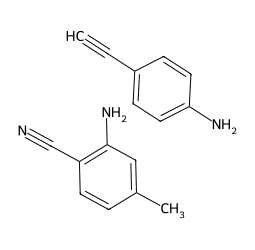 C#Cc1ccc(N)cc1.Cc1ccc(C#N)c(N)c1